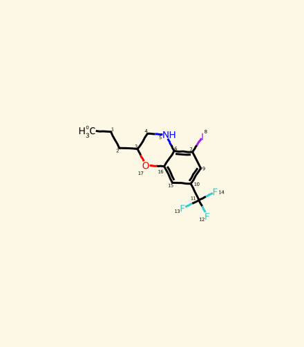 CCCC1CNc2c(I)cc(C(F)(F)F)cc2O1